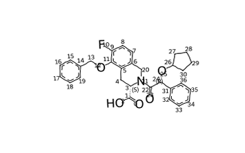 O=C(O)[C@@H]1Cc2c(ccc(F)c2OCc2ccccc2)CN1C(=O)[C@H](OC1CCCC1)c1ccccc1